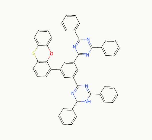 c1ccc(C2=NC(c3cc(-c4nc(-c5ccccc5)nc(-c5ccccc5)n4)cc(-c4cccc5c4Oc4ccccc4S5)c3)=NC(c3ccccc3)N2)cc1